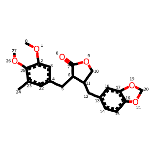 COc1cc(CC2C(=O)OCC2Cc2ccc3c(c2)OCO3)cc(C)c1OC